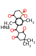 Cc1cc(C(=O)C2C(=O)CC(C)(C)CC2=O)c(C)c2c1S(=O)(=O)CCC2=O.[NaH]